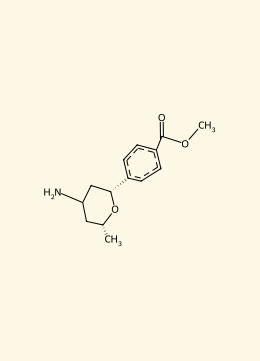 COC(=O)c1ccc([C@H]2CC(N)C[C@@H](C)O2)cc1